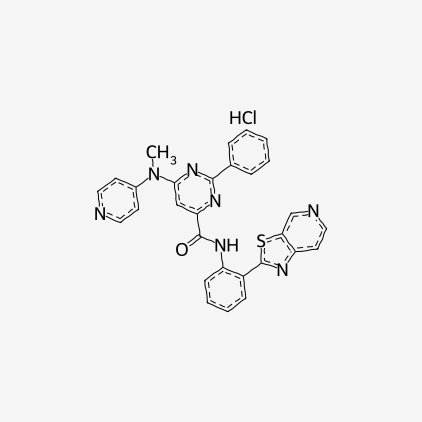 CN(c1ccncc1)c1cc(C(=O)Nc2ccccc2-c2nc3ccncc3s2)nc(-c2ccccc2)n1.Cl